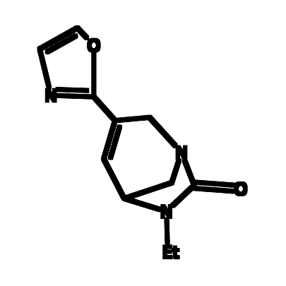 CCN1C(=O)N2CC(c3ncco3)=CC1C2